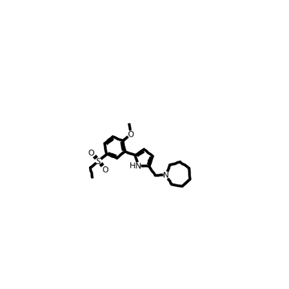 CCS(=O)(=O)c1ccc(OC)c(-c2ccc(CN3CCCCCC3)[nH]2)c1